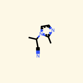 Cc1nccn1C(C)C#N